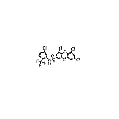 O=S(=O)(Nc1cc(Cl)ccc1C(F)(F)F)c1cc(Cl)c(Oc2ccc(Cl)cc2Cl)c(Cl)c1